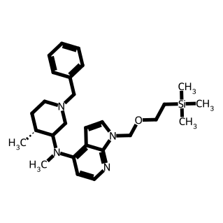 C[C@@H]1CCN(Cc2ccccc2)CC1N(C)c1ccnc2c1ccn2COCC[Si](C)(C)C